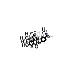 C/C=C(/S)c1ccc(CNC(=O)[C@@H]2[C@@H](F)[C@@H](O)CN2C(=O)[C@@H](NC(C)(C)C)C(C)(C)C)cc1